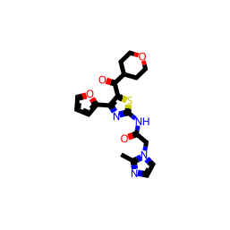 Cc1nccn1CC(=O)Nc1nc(-c2ccco2)c(C(=O)C2CCOCC2)s1